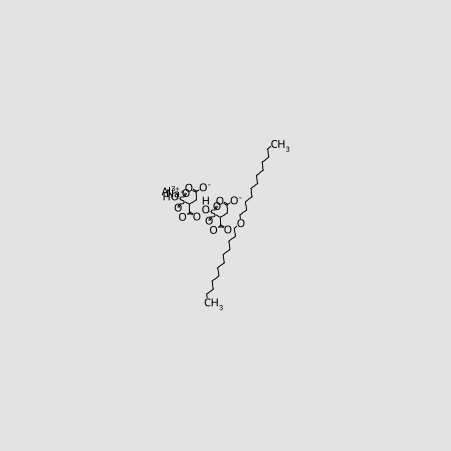 CCCCCCCCCCCCOCCCCCCCCCCCC.O=C([O-])CC(C(=O)[O-])S(=O)(=O)O.O=C([O-])CC(C(=O)[O-])S(=O)(=O)O.[Al+3].[Na+]